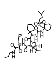 CCCNC(=O)C(=O)[C@H](CC1CC1)NC(=O)[C@@H]1[C@@H]2[C@H](CN1C(=O)[C@@H](NC(=O)NC1(CS(=O)(=O)CCC(C)C)CCCCC1)C1(C)CCCCC1)C2(C)C